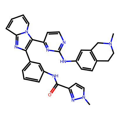 CN1CCc2ccc(Nc3nccc(-c4c(-c5cccc(NC(=O)c6ccn(C)n6)c5)nc5ccccn45)n3)cc2C1